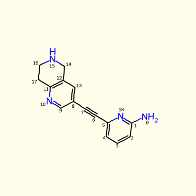 Nc1cccc(C#Cc2cnc3c(c2)CNCC3)n1